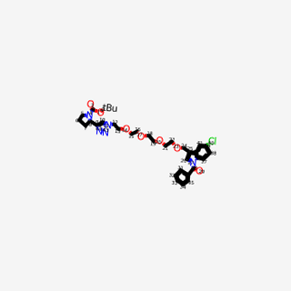 CC(C)(C)OC(=O)N1CCCC1c1cn(CCOCCOCCOCCOCc2cn(C(=O)c3ccccc3)c3ccc(Cl)cc23)nn1